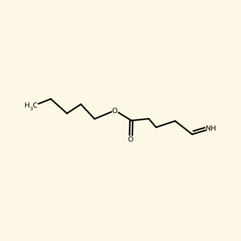 CCCCCOC(=O)CCCC=N